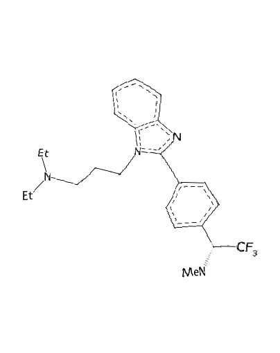 CCN(CC)CCCn1c(-c2ccc([C@@H](NC)C(F)(F)F)cc2)nc2ccccc21